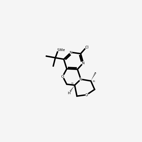 CSC(C)(C)c1nc(Cl)nc2c1OC[C@@H]1COC[C@@H](C)N21